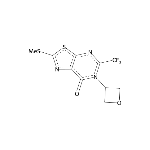 CSc1nc2c(=O)n(C3COC3)c(C(F)(F)F)nc2s1